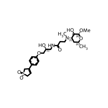 CO[C@@H]1O[C@H](C)C[C@H](N(C)CCC(=O)NC[C@H](O)COc2ccc(C3=CCS(=O)(=O)C3)cc2)[C@H]1O